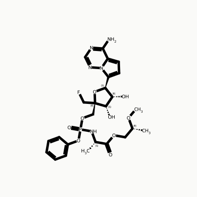 CO[C@H](C)COC(=O)[C@H](C)NP(=O)(OC[C@@]1(CF)O[C@@H](c2ccc3c(N)ncnn23)[C@H](O)[C@@H]1O)Oc1ccccc1